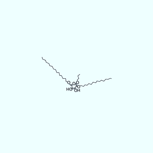 CCCCCCCCCCCCCCCCOC[C@H]1O[C@H](OCCCC)[C@H](OCCCCCCCCCCCCCCCC)[C@@H](O)[C@@H]1O